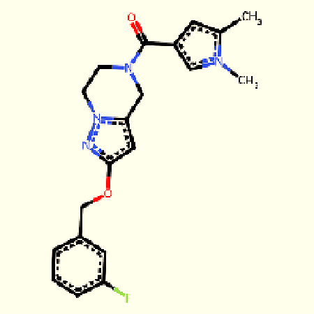 Cc1cc(C(=O)N2CCn3nc(OCc4cccc(F)c4)cc3C2)cn1C